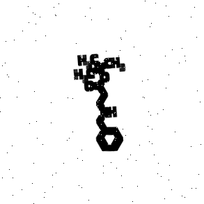 CC(C)(C)OC(=O)CCNCc1ccccc1